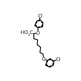 O=C(O)C(CCCCCCOc1cccc(Cl)c1)Oc1ccc(Cl)cc1